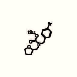 CC(C)(C)OC(=O)N(Cc1ccc(Br)cc1)CC1CCCO1